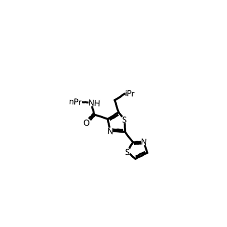 CCCNC(=O)c1nc(-c2nccs2)sc1CC(C)C